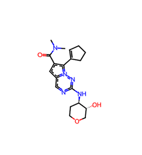 CN(C)C(=O)c1cc2cnc(N[C@@H]3CCOC[C@H]3O)nn2c1C1=CCCC1